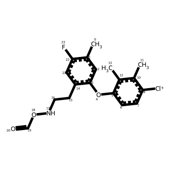 Cc1cc(Oc2ccc(Cl)c(C)c2C)c(CCNOC=O)cc1F